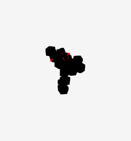 c1ccc2c(c1)-c1ccccc1C21c2ccccc2-c2c1cc(N(c1ccc(-c3ccc4c(c3)sc3ccccc34)cc1)c1cccc3c1-c1ccccc1C31c3ccccc3-n3c4ccccc4c4cccc1c43)c1ccccc21